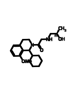 COc1cccc2c1C(C1CCCCC1)N(C(=O)CNC[C@@H](C)O)CC2